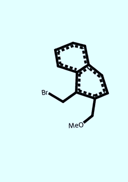 COCc1ccc2ccccc2c1CBr